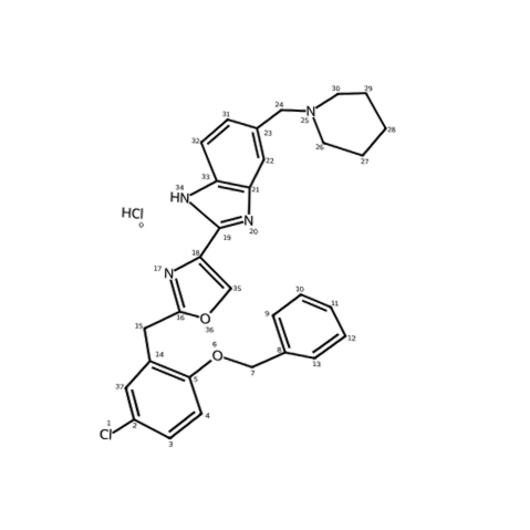 Cl.Clc1ccc(OCc2ccccc2)c(Cc2nc(-c3nc4cc(CN5CCCCC5)ccc4[nH]3)co2)c1